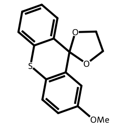 COc1ccc2c(c1)C1(OCCO1)c1ccccc1S2